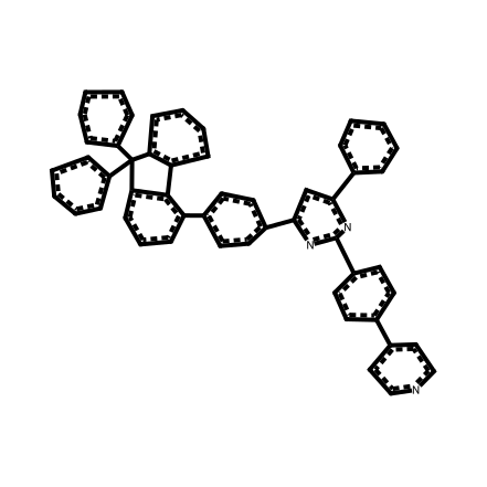 c1ccc(-c2cc(-c3ccc(-c4cccc5c4-c4ccccc4C5(c4ccccc4)c4ccccc4)cc3)nc(-c3ccc(-c4ccncc4)cc3)n2)cc1